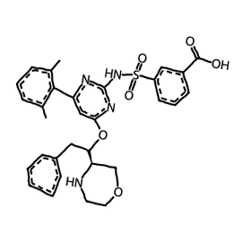 Cc1cccc(C)c1-c1cc(OC(Cc2ccccc2)[C@H]2COCCN2)nc(NS(=O)(=O)c2cccc(C(=O)O)c2)n1